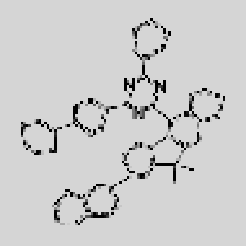 CC1(C)c2cc(-c3ccc4ccccc4c3)ccc2-c2c1cc1ccccc1c2-c1nc(-c2ccccc2)nc(-c2ccc(-c3ccccc3)cc2)n1